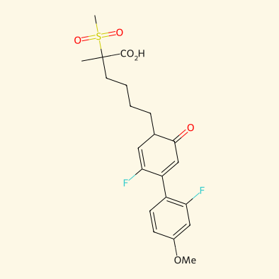 COc1ccc(C2=CC(=O)C(CCCCC(C)(C(=O)O)S(C)(=O)=O)C=C2F)c(F)c1